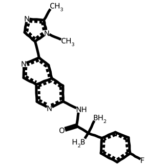 BC(B)(C(=O)Nc1cc2cc(-c3cnc(C)n3C)ncc2cn1)c1ccc(F)cc1